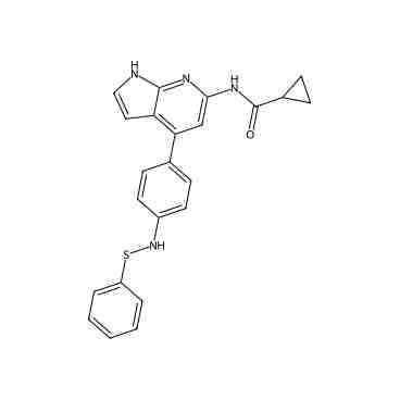 O=C(Nc1cc(-c2ccc(NSc3ccccc3)cc2)c2cc[nH]c2n1)C1CC1